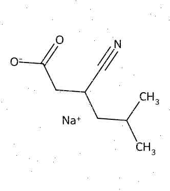 CC(C)CC(C#N)CC(=O)[O-].[Na+]